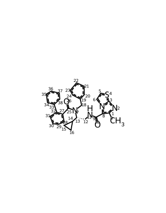 Cc1nc2sccn2c1C(=O)NC[C@H](C1CC1)N(Cc1ccccc1)C(=O)c1ccccc1-c1ccccc1